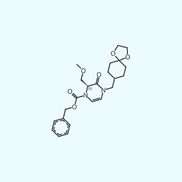 COC[C@H]1C(=O)N(CC2CCC3(CC2)OCCO3)C=CN1C(=O)OCc1ccccc1